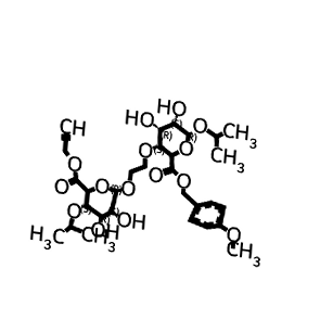 C#CCOC(=O)C1O[C@@H](OCCO[C@@H]2C(C(=O)OCc3ccc(OC)cc3)O[C@@H](OC(C)C)[C@@H](O)[C@H]2O)[C@@H](O)[C@@H](O)[C@@H]1OC(C)C